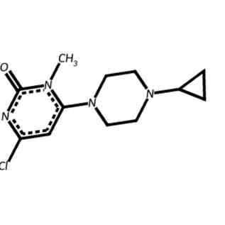 Cn1c(N2CCN(C3CC3)CC2)cc(Cl)nc1=O